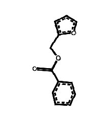 O=C(OCc1ccco1)c1ccccc1